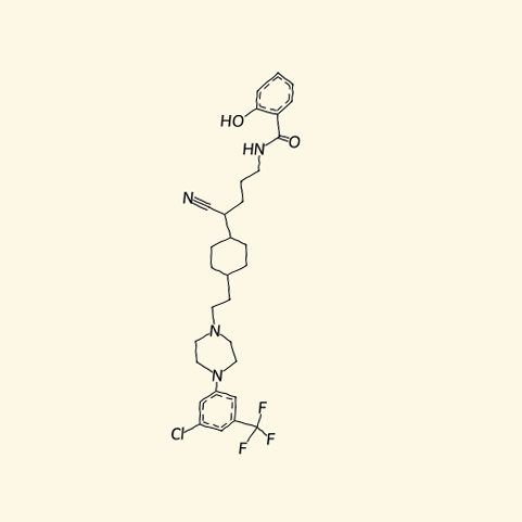 N#CC(CCCNC(=O)c1ccccc1O)C1CCC(CCN2CCN(c3cc(Cl)cc(C(F)(F)F)c3)CC2)CC1